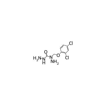 NNC(=O)N(N)COc1ccc(Cl)cc1Cl